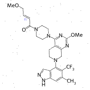 COC/C=C/C(=O)N1CCN(c2nc(OC)nc3c2CCN(c2c(C(F)(F)F)c(C)cc4[nH]ncc24)C3)CC1